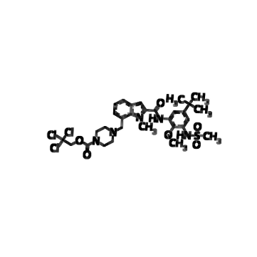 COc1c(NC(=O)c2cc3cccc(CN4CCN(C(=O)OCC(Cl)(Cl)Cl)CC4)c3n2C)cc(C(C)(C)C)cc1NS(C)(=O)=O